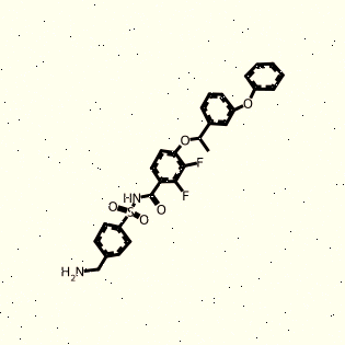 CC(Oc1ccc(C(=O)NS(=O)(=O)c2ccc(CN)cc2)c(F)c1F)c1cccc(Oc2ccccc2)c1